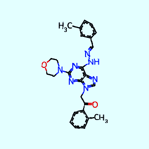 Cc1cccc(C=NNc2nc(N3CCOCC3)nc3c2ncn3CC(=O)c2ccccc2C)c1